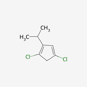 CC(C)C1=C(Cl)CC(Cl)=C1